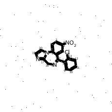 O=[N+]([O-])c1ccc2c(c1)C(c1ccccc1Cl)=NCc1nccn1-2